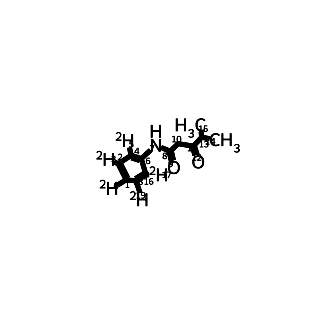 [2H]c1c([2H])c([2H])c(NC(=O)CC(=O)C(C)C)c([2H])c1[2H]